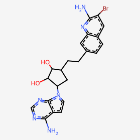 Nc1nc2cc(CCC3CC(n4ccc5c(N)ncnc54)C(O)C3O)ccc2cc1Br